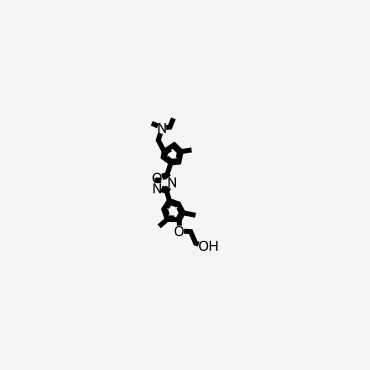 CCN(C)Cc1cc(C)cc(-c2nc(-c3cc(C)c(OCCO)c(C)c3)no2)c1